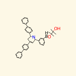 CC(C)(O)C(C)(C)OBc1cccc(C2=NC(c3ccc(-c4ccccc4)cc3)CC(c3ccc(-c4ccccc4)cc3)=C2)c1